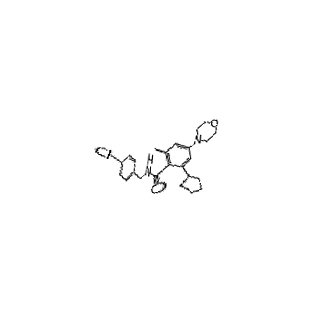 Cc1cc(N2CCOCC2)cc(C2CCCC2)c1C(=O)NCc1ccc(Cl)cc1